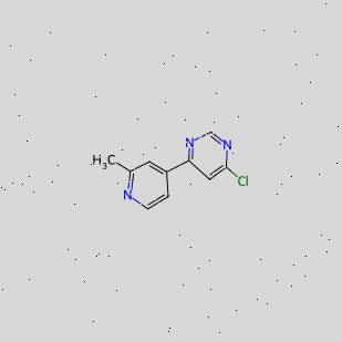 Cc1cc(-c2cc(Cl)ncn2)ccn1